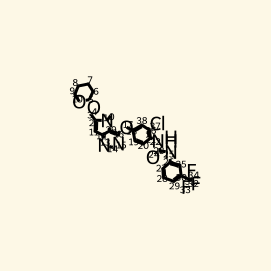 Cn1c(COC2CCCCO2)cc2ncnc(Oc3ccc(NC(=O)Nc4cccc(C(F)(F)F)c4)c(Cl)c3)c21